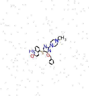 CN1CCN(c2ncc(Sc3cccc4[nH]c(=O)ccc34)c(OCc3ccccc3)n2)CC1